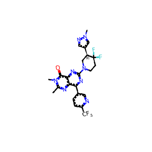 Cc1nc2c(-c3ccc(C(F)(F)F)nc3)nc(N3CCC(F)(F)[C@H](c4cnn(C)c4)C3)nc2c(=O)n1C